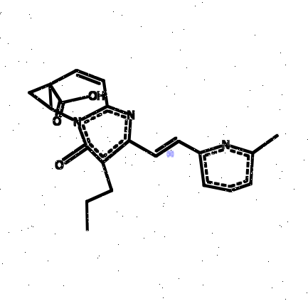 CCCc1c(/C=C/c2cccc(C)n2)nc2n(c1=O)C1CC1(C(=O)O)C=C2